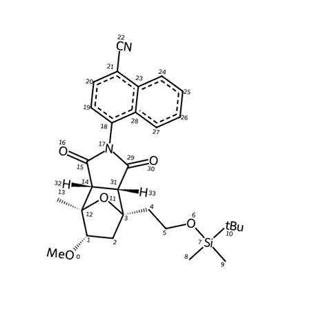 CO[C@H]1C[C@@]2(CCO[Si](C)(C)C(C)(C)C)O[C@]1(C)[C@@H]1C(=O)N(c3ccc(C#N)c4ccccc34)C(=O)[C@@H]12